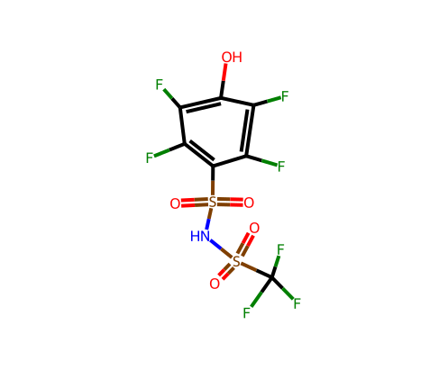 O=S(=O)(NS(=O)(=O)C(F)(F)F)c1c(F)c(F)c(O)c(F)c1F